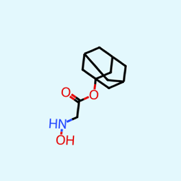 O=C(CNO)OC12CC3CC(CC(C3)C1)C2